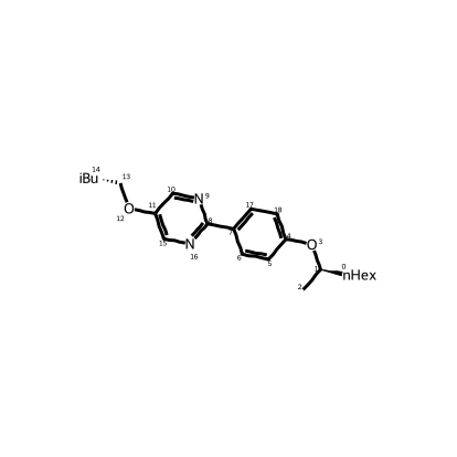 CCCCCC[C@@H](C)Oc1ccc(-c2ncc(OC[C@@H](C)CC)cn2)cc1